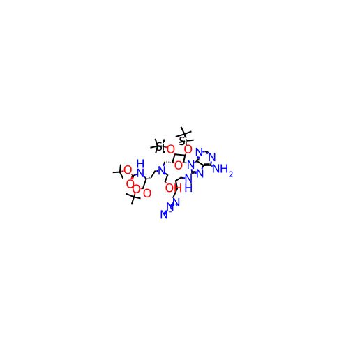 CC(C)(C)OC(=O)N[C@H](CCN(CCO)C[C@H]1O[C@@H](n2c(NCCCCN=[N+]=[N-])nc3c(N)ncnc32)[C@@H](O[Si](C)(C)C(C)(C)C)C1O[Si](C)(C)C(C)(C)C)C(=O)OC(C)(C)C